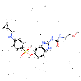 COCCNC(=O)Nc1nc2cc(OS(=O)(=O)c3ccc(NCC4CC4)cc3)ccc2[nH]1